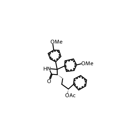 COc1ccc(C2(c3ccc(OC)cc3)NC(=O)[C@H]2CC[C@@H](OC(C)=O)c2ccccc2)cc1